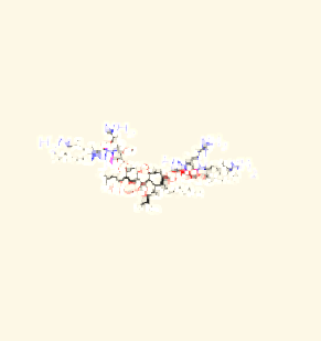 CON[C@@H](CCCCN)C(=O)N[C@@H](CCCCN)C(=O)C(=O)COc1cc2oc3cc(OCC(=O)N[C@@H](CCCCN)C(=O)N[C@@H](CCCCN)C(=O)OC)c(OC)c(CC=C(C)C)c3c(=O)c2c(O)c1CC=C(C)C